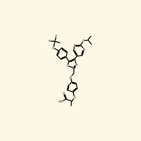 CC(C)Oc1ncc(-c2nc(COc3ccc(OC(C)C(=O)O)cc3)oc2-c2ccc(OC(F)(F)F)cc2)cn1